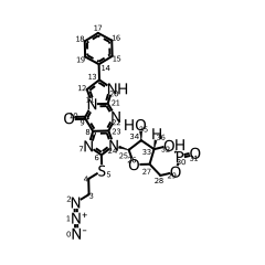 [N-]=[N+]=NCCSc1nc2c(=O)n3cc(-c4ccccc4)[nH]c3nc2n1[C@@H]1OC2CO[PH](=O)O[C@H]2[C@@H]1O